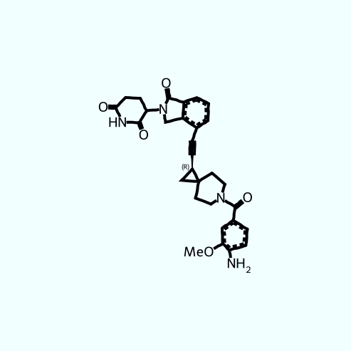 COc1cc(C(=O)N2CCC3(CC2)C[C@H]3C#Cc2cccc3c2CN(C2CCC(=O)NC2=O)C3=O)ccc1N